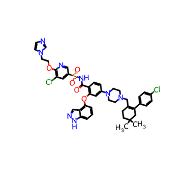 CC1(C)CCC(CN2CCN(c3ccc(C(=O)NS(=O)(=O)c4cnc(OCCn5ccnc5)c(Cl)c4)c(Oc4cccc5[nH]ncc45)c3)CC2)=C(c2ccc(Cl)cc2)C1